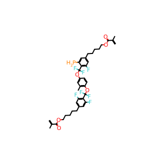 C=C(C)C(=O)OCCCCCc1cc(F)c(C(F)(F)Oc2ccc(OC(F)(F)c3c(F)cc(CCCCCOC(=O)C(=C)C)cc3P)cc2C)c(F)c1